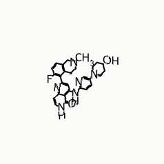 CN1CCc2c(ccc(F)c2-c2cc(Nc3ccc(N4CCC(O)CC4)cn3)c3c(=O)[nH]ccc3n2)C1